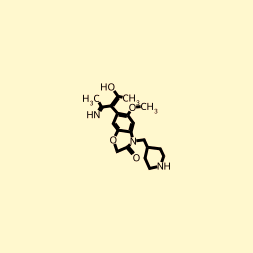 COc1cc2c(cc1/C(C(C)=N)=C(\C)O)OCC(=O)N2CC1CCNCC1